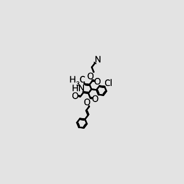 CC1=C(C(=O)OCCC#N)C(c2cccc(Cl)c2)C(C(=O)OCC=Cc2ccccc2)=C(C=O)N1